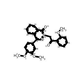 COc1ccc(-c2nn(CC(=O)c3ccccc3OC)c(=O)c3ccccc23)cc1OC